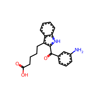 Nc1cccc(C(=O)c2[nH]c3ccccc3c2CCCCC(=O)O)c1